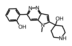 Cn1c(C2(O)CCNCC2)cc2nnc(-c3ccccc3O)cc21